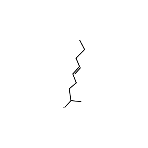 [CH2]C(C)CC/C=C/CCC